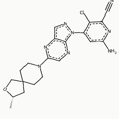 C[C@H]1CC2(CCN(c3cnc4c(cnn4-c4cc(N)nc(C#N)c4Cl)n3)CC2)CO1